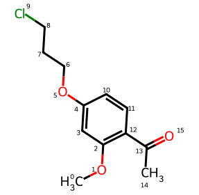 COc1cc(OCCCCl)ccc1C(C)=O